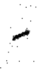 CC/C(F)=C(\F)c1ccc(-c2ccc(C3COC(c4cc(F)c(C(F)(F)F)c(F)c4)OC3)cc2)c(F)c1